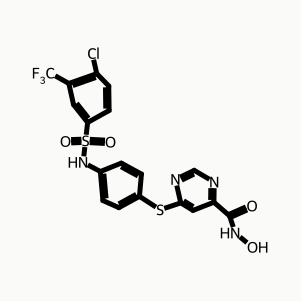 O=C(NO)c1cc(Sc2ccc(NS(=O)(=O)c3ccc(Cl)c(C(F)(F)F)c3)cc2)ncn1